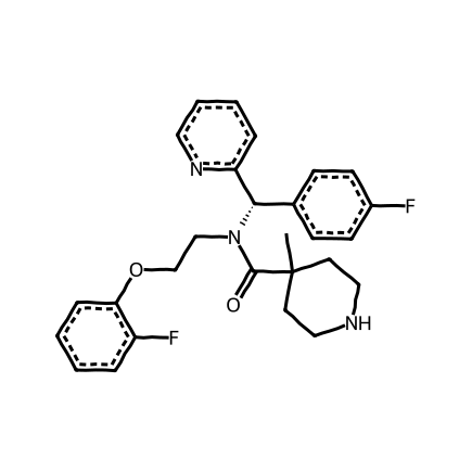 CC1(C(=O)N(CCOc2ccccc2F)[C@@H](c2ccc(F)cc2)c2ccccn2)CCNCC1